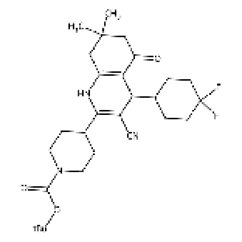 CC1(C)CC(=O)C2=C(C1)NC(C1CCN(C(=O)OC(C)(C)C)CC1)=C(C#N)C2C1CCC(F)(F)CC1